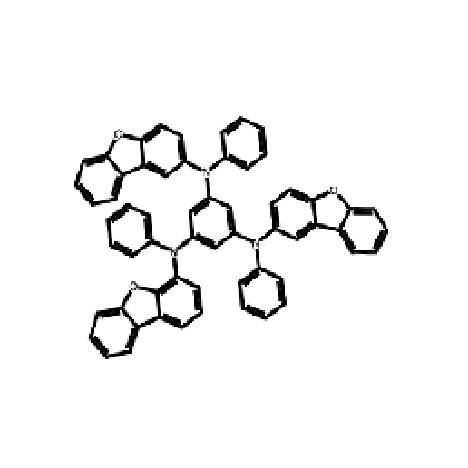 c1ccc(N(c2cc(N(c3ccccc3)c3ccc4oc5ccccc5c4c3)cc(N(c3ccccc3)c3cccc4c3oc3ccccc34)c2)c2ccc3oc4ccccc4c3c2)cc1